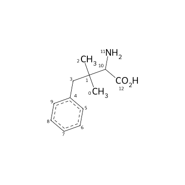 CC(C)(Cc1ccccc1)C(N)C(=O)O